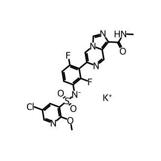 CNC(=O)c1ncn2cc(-c3c(F)ccc([N-]S(=O)(=O)c4cc(Cl)cnc4OC)c3F)ncc12.[K+]